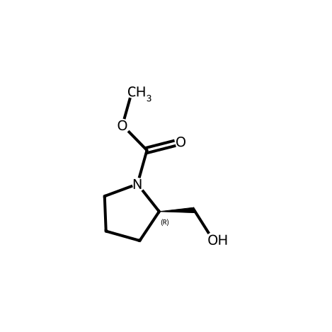 COC(=O)N1CCC[C@@H]1CO